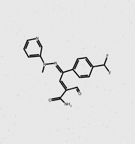 CN(/N=C(\C=C(/C=O)C(N)=O)c1ccc(C(F)F)cc1)c1cccnc1